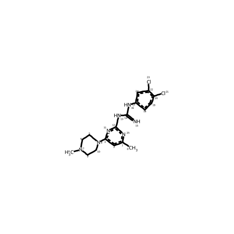 Cc1cc(N2CCN(C)CC2)nc(NC(=N)Nc2ccc(Cl)c(Cl)c2)n1